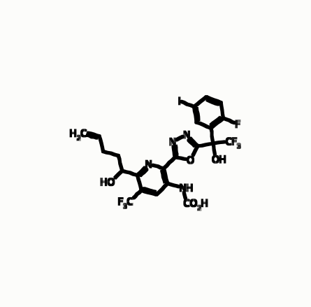 C=CCCC(O)c1nc(-c2nnc(C(O)(c3cc(I)ccc3F)C(F)(F)F)o2)c(NC(=O)O)cc1C(F)(F)F